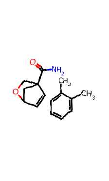 Cc1ccccc1C.NC(=O)C12C=CC(C1)OC2